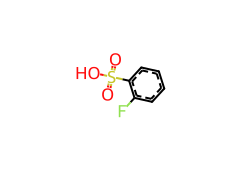 O=S(=O)(O)c1ccccc1F